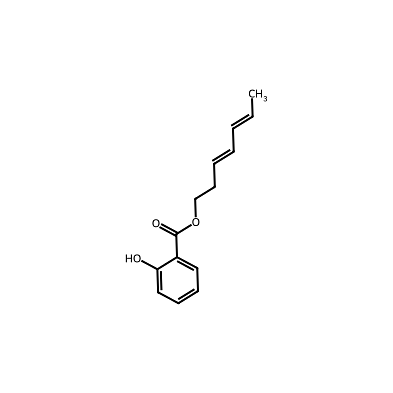 C/C=C/C=C/CCOC(=O)c1ccccc1O